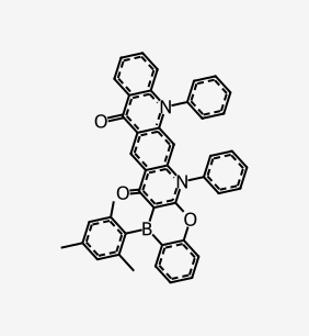 Cc1cc(C)c(B2c3ccccc3Oc3c2c(=O)c2cc4c(=O)c5ccccc5n(-c5ccccc5)c4cc2n3-c2ccccc2)c(C)c1